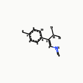 C=N/C=C(/c1ccc(C)cc1)C(C)C